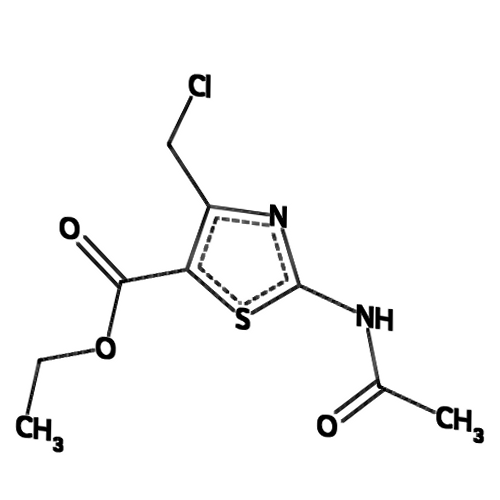 CCOC(=O)c1sc(NC(C)=O)nc1CCl